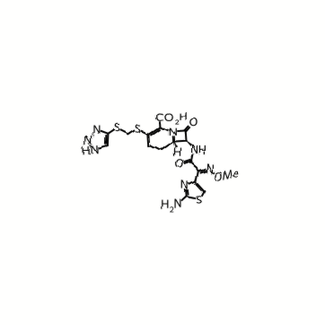 CON=C(C(=O)N[C@@H]1C(=O)N2C(C(=O)O)=C(SCSc3c[nH]nn3)CC[C@@H]12)c1csc(N)n1